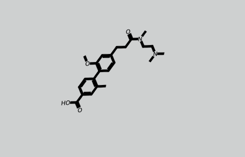 COc1cc(CCC(=O)N(C)CCN(C)C)ccc1-c1ccc(C(=O)O)cc1C